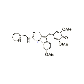 COC1=CC(=CC2=C(C)/C(=C\C(=O)NCc3ccccn3)c3cc(OC)ccc32)C=C(OC)C1=O